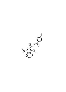 COc1cc(C(=O)CCC(=O)c2ccc(F)cc2)c(OC)c2c1OCCO2